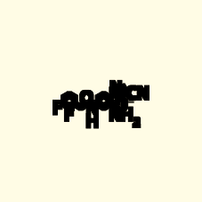 N#Cc1cnn(-c2ccc(NC(=O)Cc3cccc(F)c3F)cc2[S+](N)[O-])c1